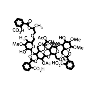 COCC1OC(OC2C(COC(C)=O)OC(OC3C(COC(=O)c4ccccc4C(=O)O)OC(OC)C(OC)C3O)C(OC)C2OCC(C)OC(C)=O)C(OC(C)=O)C(OC(=O)c2ccccc2C(=O)O)C1OC1OC(COCC(C)OC(=O)c2ccccc2C(=O)O)C(C)C(OC)C1O